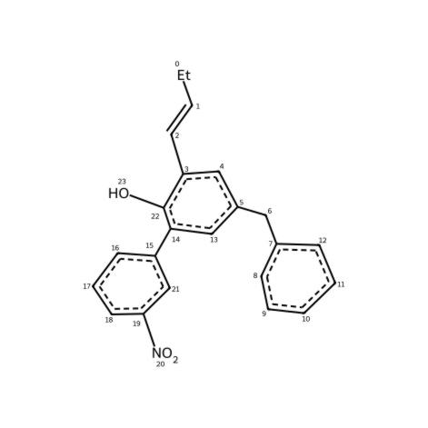 CC/C=C/c1cc(Cc2ccccc2)cc(-c2cccc([N+](=O)[O-])c2)c1O